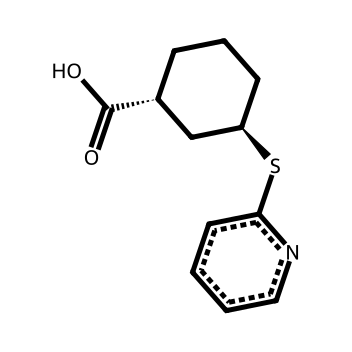 O=C(O)[C@@H]1CCC[C@@H](Sc2ccccn2)C1